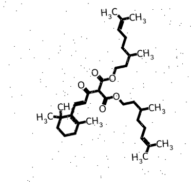 CC(C)=CCCC(C)CCOC(=O)C(C(=O)C=CC1=C(C)CCCC1(C)C)C(=O)OCCC(C)CCC=C(C)C